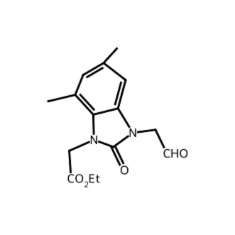 CCOC(=O)Cn1c(=O)n(CC=O)c2cc(C)cc(C)c21